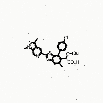 Cc1cc2nc(-c3cc4c(C)nn(C)c4cn3)sc2c(-c2ccc(Cl)cc2)c1[C@H](OC(C)(C)C)C(=O)O